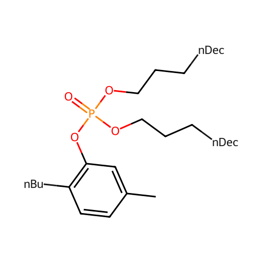 CCCCCCCCCCCCCOP(=O)(OCCCCCCCCCCCCC)Oc1cc(C)ccc1CCCC